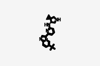 CC(C)(C)c1ccc2ncc(-c3cccc(N[C@H]4CNCC45CC5)n3)n2c1